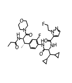 CCC(=O)N[C@@H](C(=O)N1CCOCC1)[C@@H](C)c1ccc(NC(=O)[C@@H](NC(=O)c2ccnn2CCF)C(C2CC2)C2CC2)c(F)c1